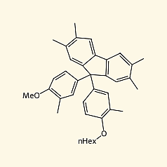 CCCCCCOc1ccc(C2(c3ccc(OC)c(C)c3)c3cc(C)c(C)cc3-c3cc(C)c(C)cc32)cc1C